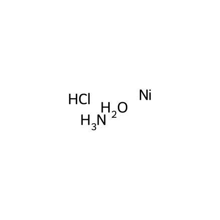 Cl.N.O.[Ni]